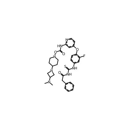 CN(C)C1CN(C2CCN(OC(=O)Nc3cc(Oc4ccc(NC(=S)NC(=O)Cc5ccccc5)cc4F)ccn3)CC2)C1